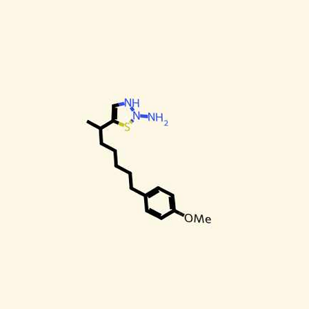 COc1ccc(CCCCCC(C)C2=CNN(N)S2)cc1